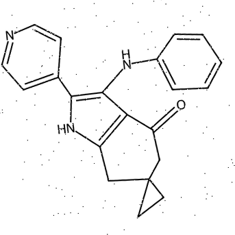 O=C1CC2(CC2)Cc2[nH]c(-c3ccncc3)c(Nc3ccccc3)c21